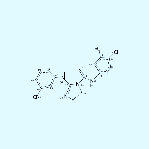 S=C(Nc1ccc(Cl)c(Cl)c1)N1CCN=C1Nc1cccc(Cl)c1